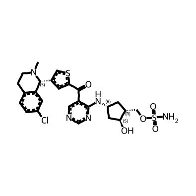 CN1CCc2ccc(Cl)cc2[C@H]1c1csc(C(=O)c2cncnc2N[C@@H]2C[C@H](COS(N)(=O)=O)[C@@H](O)C2)c1